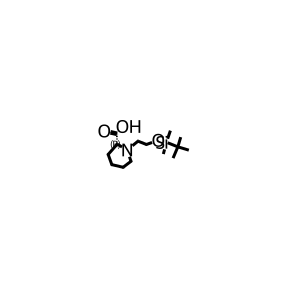 CC(C)(C)[Si](C)(C)OCCN1CCCC[C@@H]1C(=O)O